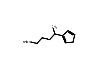 CCCCCCCCCC(C)C1=[C]CC=C1